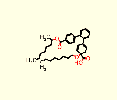 CCCCCCCCOC1(C(=O)O)C=CC(c2ccccc2-c2ccc(C(=O)OC(C)CCCCCC)cc2)=CC1